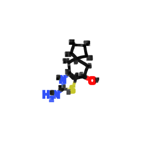 Nc1nc2c(s1)C(=O)CC1(CCCC1)C2